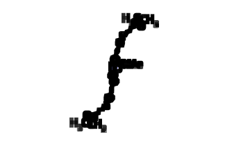 C=C(C)C(=O)OCCCCCSc1ccc(C#Cc2ccc(/N=C/c3ccc4cc(C#Cc5ccc(SCCCCCOC(=O)C(=C)C)cc5)ccc4c3)c(C(=O)OC)c2)cc1